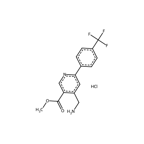 COC(=O)c1cnc(-c2ccc(C(F)(F)F)cc2)cc1CN.Cl